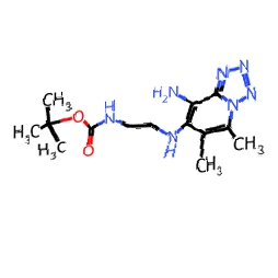 Cc1c(NCCNC(=O)OC(C)(C)C)c(N)c2nnnn2c1C